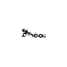 COc1ccc(N2CCN(CCNCc3cc(CC(C)C)n(C(C)(C)C)n3)CC2)cc1